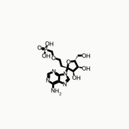 Nc1ncnc2c1ncn2[C@]1(CCOCP(=O)(O)O)O[C@H](CO)[C@@H](O)[C@H]1O